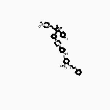 Cc1c(CCN2CCN([S+](C)[O-])CC2)c(-c2cccc(N3CCN(c4ccc(NSC5C=C([N+](=O)[O-])C(NCCSc6ccccc6)CC5)cc4)CC3)c2)c(-c2ccc(Cl)cc2)n1C